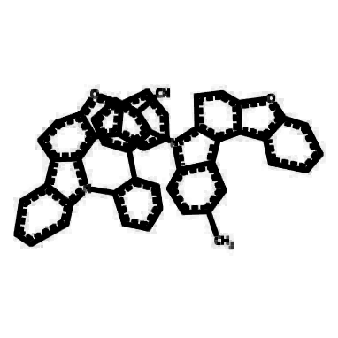 Cc1ccc2c(c1)c1c3c(ccc1n2-c1c(C#N)cccc1-c1ccccc1-n1c2ccccc2c2ccc4oc5ccccc5c4c21)oc1ccccc13